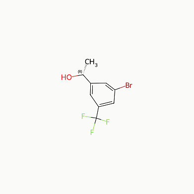 C[C@@H](O)c1cc(Br)cc(C(F)(F)F)c1